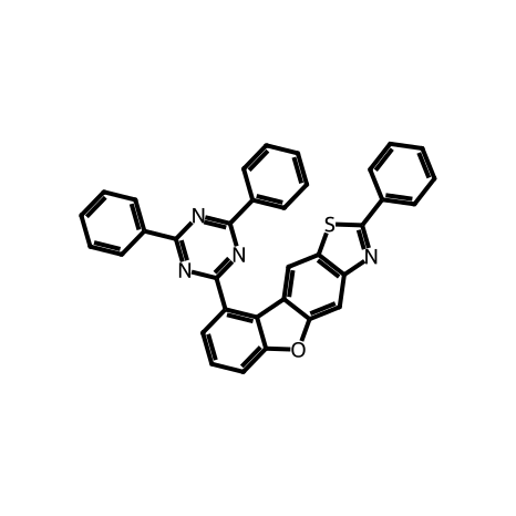 c1ccc(-c2nc(-c3ccccc3)nc(-c3cccc4oc5cc6nc(-c7ccccc7)sc6cc5c34)n2)cc1